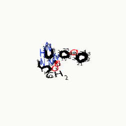 C=CC(=O)C(C1CCCN1)n1c(=O)n(-c2ccc(Oc3ccccc3)cc2)c2cnccc21